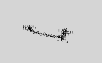 CC[C@@H]1C(=O)N(C)c2cnc(Nc3ccc(C(=O)NCCOCCOCCOCCOCCOCCOCCOC4CCN(C(=O)OC(C)(C)C)CC4)cc3OC)nc2N1C1CCCC1